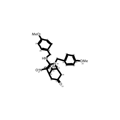 COc1ccc(CNC2=C([N+](=O)[O-])C3CC(=O)CC(N2Cc2ccc(OC)cc2)C3(OC)OC)cc1